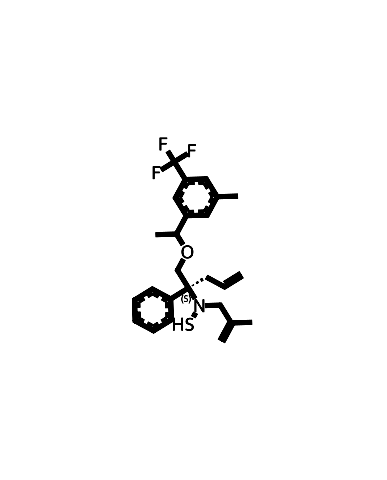 C=CC[C@@](COC(C)c1cc(C)cc(C(F)(F)F)c1)(c1ccccc1)N(S)CC(=C)C